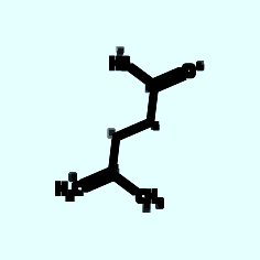 C=C(C)CCC(=O)S